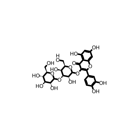 O=c1c(OC2O[C@H](CO)[C@H](O)[C@H](OC3O[C@H](CO)[C@@H](O)[C@H](O)[C@H]3O)[C@H]2O)c(-c2ccc(O)c(O)c2)oc2cc(O)cc(O)c12